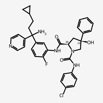 NC(CCC1CC1)(c1ccncc1)c1ccc(F)c(NC(=O)[C@H]2C[C@](O)(c3ccccc3)CN2C(=O)Nc2ccc(Cl)cc2)c1